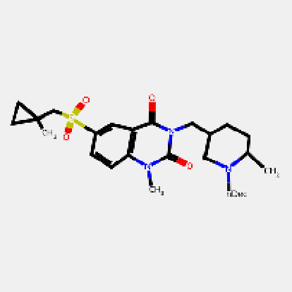 CCCCCCCCCCN1CC(Cn2c(=O)c3cc(S(=O)(=O)CC4(C)CC4)ccc3n(C)c2=O)CCC1C